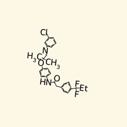 CCC(F)(F)c1ccc(CC(=O)Nc2ccc(OC(C)(C)/C=N/c3cccc(Cl)c3)cc2)cc1